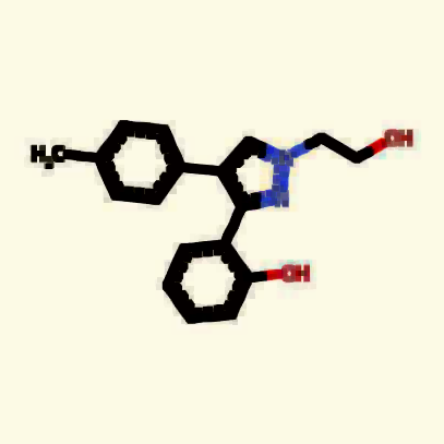 Cc1ccc(-c2cn(CCO)nc2-c2ccccc2O)cc1